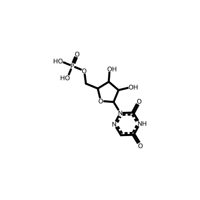 O=c1cnn(C2OC(COP(=O)(O)O)C(O)C2O)c(=O)[nH]1